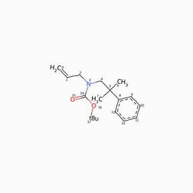 C=CCN(CC(C)(C)c1ccccc1)C(=O)OC(C)(C)C